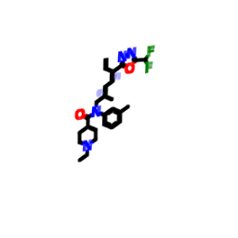 C=C/C(=C\C=C(/C)CN(C(=O)C1CCN(CC)CC1)c1cccc(C)c1)c1nnc(C(F)F)o1